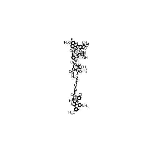 CC[C@@]1(O)C(=O)OCc2c1cc1n(c2=O)Cc2c-1nc1cc(F)c(C)c3c1c2[C@@H](NC(=O)OCc1ccc(NC(=O)[C@H](CCCNC(N)=O)SNC(=O)[C@@H](NC(=O)CCOCCOCCOCCOCCC(=O)NCCNc2ncc(-c4cc(C)cc(F)c4)c(N4CCC(N)CC4)c2-c2nc4ccc(Cl)cc4[nH]2)C(C)C)c(O[C@@H]2O[C@H](C(=O)O)[C@@H](O)[C@H](O)[C@H]2O)c1)CC3